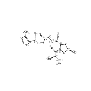 Cc1ncsc1-c1ccc(ONC(=O)[C@@H]2C[C@@H](O)CN2C(=O)[C@@H](NC(C)C)C(C)(C)C)cc1